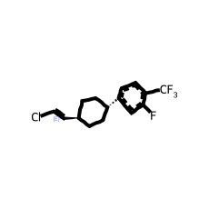 Fc1cc([C@H]2CC[C@H](/C=C/Cl)CC2)ccc1C(F)(F)F